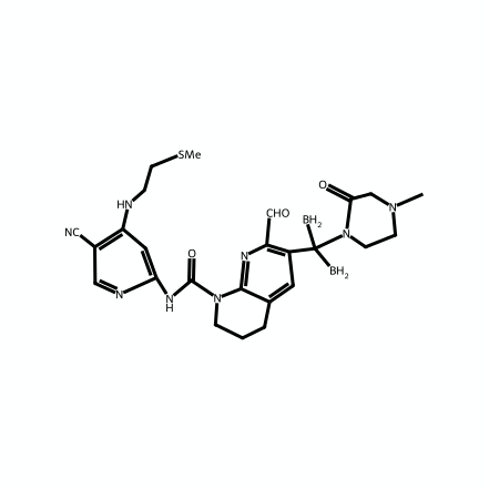 BC(B)(c1cc2c(nc1C=O)N(C(=O)Nc1cc(NCCSC)c(C#N)cn1)CCC2)N1CCN(C)CC1=O